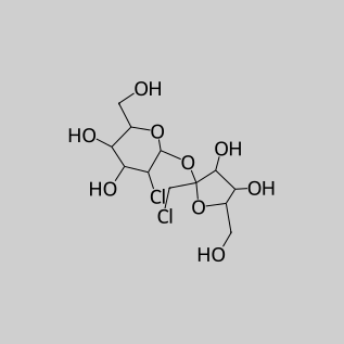 OCC1OC(OC2(CCl)OC(CO)C(O)C2O)C(Cl)C(O)C1O